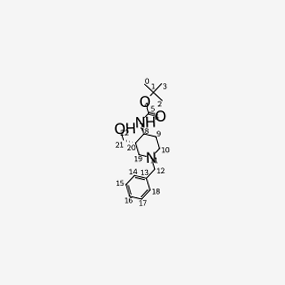 CC(C)(C)OC(=O)N[C@H]1CCN(Cc2ccccc2)C[C@@H]1CO